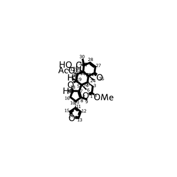 COC(=O)C[C@H]1[C@]2(C)C3=C(C)[C@H](c4ccoc4)C[C@H]3O[C@@H]2[C@H](OC(C)=O)[C@@H]2[C@]1(C)C(=O)C=C[C@@]2(C)C(=O)O